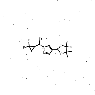 CCC(C1CC1(F)F)n1cc(B2OC(C)(C)C(C)(C)O2)cn1